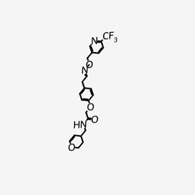 O=C(COc1ccc(CC=NOCc2ccc(C(F)(F)F)nc2)cc1)NCC1C=COCC1